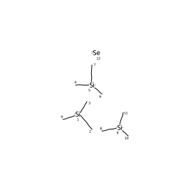 C[Si](C)C.C[Si](C)C.C[Si](C)C.[Se]